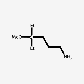 CC[Si](CC)(CCCN)OC